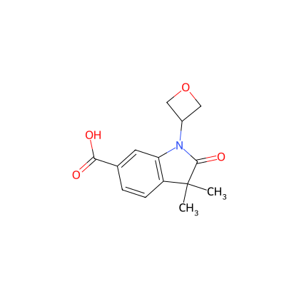 CC1(C)C(=O)N(C2COC2)c2cc(C(=O)O)ccc21